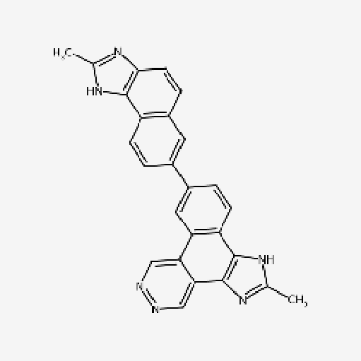 Cc1nc2ccc3cc(-c4ccc5c(c4)c4cnncc4c4nc(C)[nH]c54)ccc3c2[nH]1